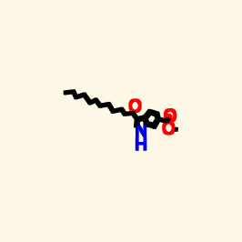 CCCCCCCCCCCC(=O)c1c[nH]c2cc(C(=O)OC)ccc12